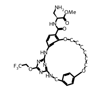 COC(=O)[C@H](CN)NC(=O)c1ccc2cc1OCCCCCCOc1ccc(cc1)CNc1nc(nc(OCC(F)(F)F)n1)N2